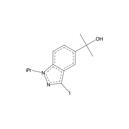 CC(C)n1nc(I)c2cc(C(C)(C)O)ccc21